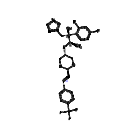 C[C@@H](S[C@H]1CO[C@H](/C=C/c2ccc(C(F)(F)F)cc2)OC1)[C@](O)(Cn1cncn1)c1ccc(F)cc1F